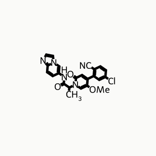 COc1cn(C(C)C(=O)Nc2ccc3nccn3c2)c(=O)cc1-c1cc(Cl)ccc1C#N